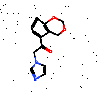 O=C(Cn1ccnc1)c1cccc2c1COCO2